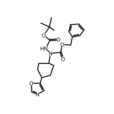 CC(C)(C)OC(=O)NN(C(=O)OCc1ccccc1)C1CCC(c2cnco2)CC1